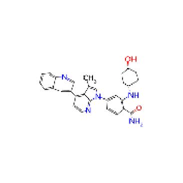 Cc1cn(-c2ccc(C(N)=O)c(N[C@H]3CC[C@H](O)CC3)c2)c2nccc(-c3cnc4ccccc4c3)c12